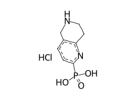 Cl.O=P(O)(O)c1ccc2c(n1)CCNC2